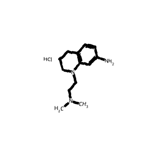 CN(C)CCN1CCCc2ccc(N)cc21.Cl